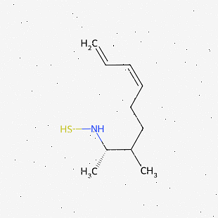 C=C/C=C\CCC(C)[C@H](C)NS